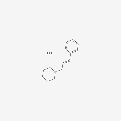 C(=C\c1ccccc1)/CN1CCCCC1.Cl